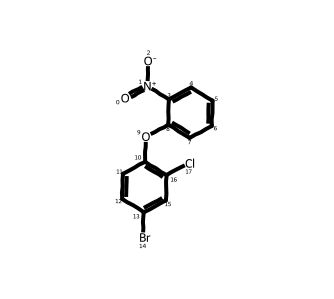 O=[N+]([O-])c1ccccc1Oc1ccc(Br)cc1Cl